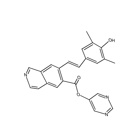 Cc1cc(/C=C/c2cc3cnccc3cc2C(=O)Oc2cncnc2)cc(C)c1O